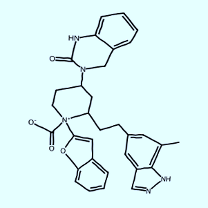 Cc1cc(CCC2CC(N3Cc4ccccc4NC3=O)CC[N+]2(C(=O)[O-])c2cc3ccccc3o2)cc2cn[nH]c12